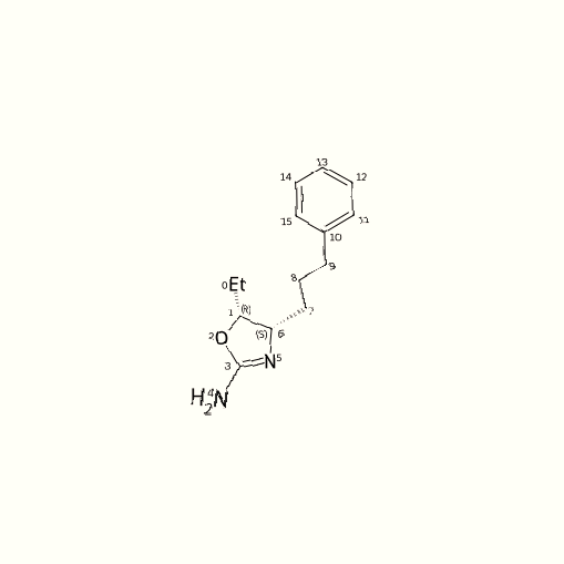 CC[C@H]1OC(N)=N[C@H]1CCCc1ccccc1